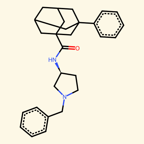 O=C(N[C@H]1CCN(Cc2ccccc2)C1)C12CC3CC(C1)CC(c1ccccc1)(C3)C2